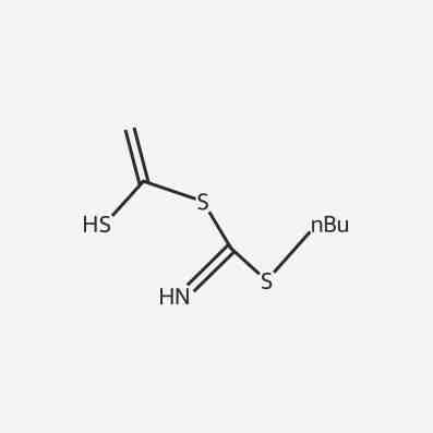 C=C(S)SC(=N)SCCCC